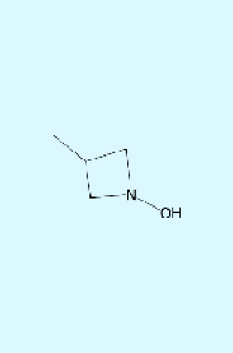 CC1CN(O)C1